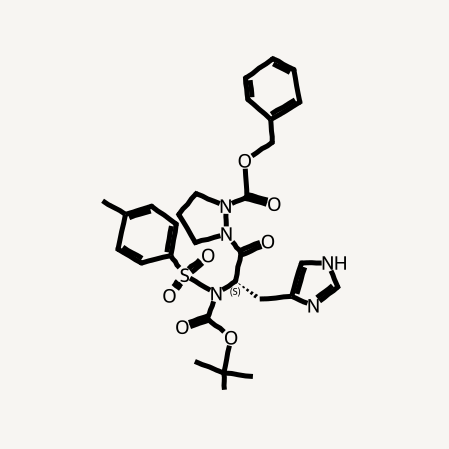 Cc1ccc(S(=O)(=O)N(C(=O)OC(C)(C)C)[C@@H](Cc2c[nH]cn2)C(=O)N2CCCN2C(=O)OCc2ccccc2)cc1